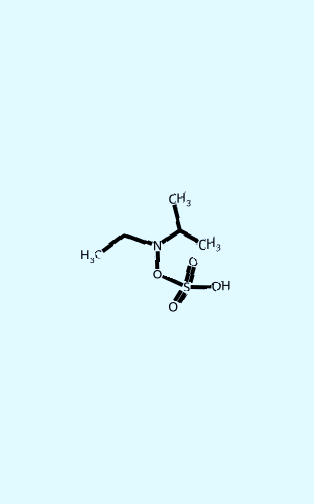 CCN(OS(=O)(=O)O)C(C)C